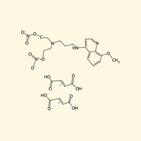 COc1cccc2c(NCCCN(CCO[N+](=O)[O-])CCO[N+](=O)[O-])ccnc12.O=C(O)/C=C/C(=O)O.O=C(O)/C=C/C(=O)O